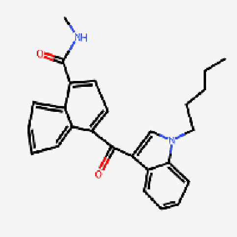 CCCCCn1cc(C(=O)c2ccc(C(=O)NC)c3ccccc23)c2ccccc21